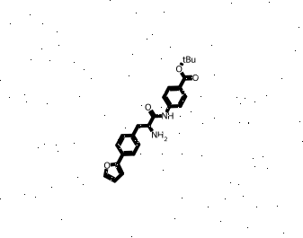 CC(C)(C)OC(=O)c1ccc(NC(=O)C(N)Cc2ccc(-c3ccco3)cc2)cc1